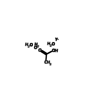 CC(=O)O.O.O.O.[Y]